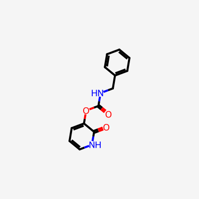 O=C(NCc1ccccc1)Oc1ccc[nH]c1=O